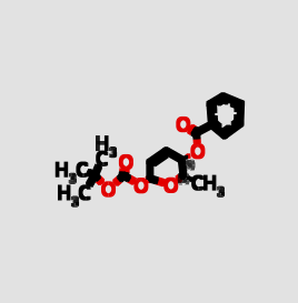 C[C@@H]1OC(OC(=O)OC(C)(C)C)C=C[C@@H]1OC(=O)c1ccccc1